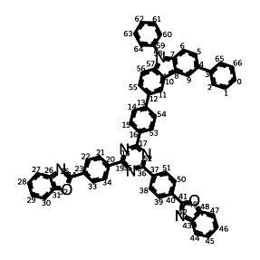 c1ccc(-c2ccc3c(c2)c2cc(-c4ccc(-c5nc(-c6ccc(-c7nc8ccccc8o7)cc6)nc(-c6ccc(-c7nc8ccccc8o7)cc6)n5)cc4)ccc2n3-c2ccccc2)cc1